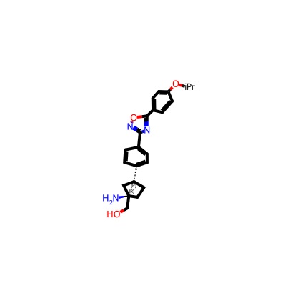 CC(C)Oc1ccc(-c2nc(-c3ccc([C@@H]4CC[C@](N)(CO)C4)cc3)no2)cc1